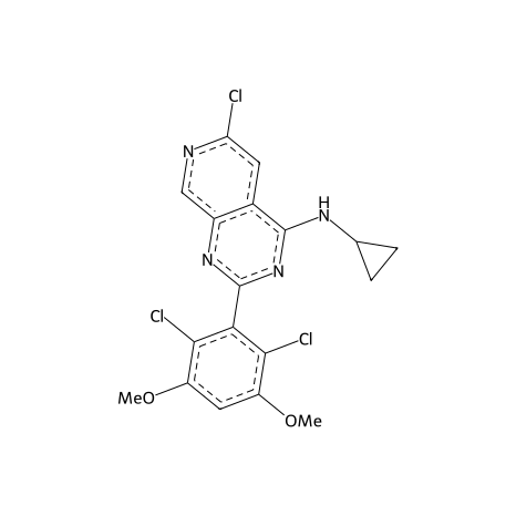 COc1cc(OC)c(Cl)c(-c2nc(NC3CC3)c3cc(Cl)ncc3n2)c1Cl